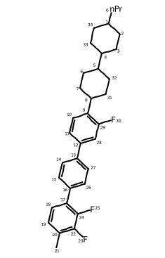 CCCC1CCC(C2CCC(c3ccc(-c4ccc(-c5ccc(C)c(F)c5F)cc4)cc3F)CC2)CC1